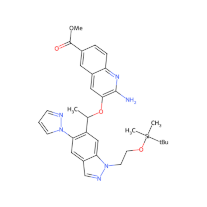 COC(=O)c1ccc2nc(N)c(OC(C)c3cc4c(cnn4CCO[Si](C)(C)C(C)(C)C)cc3-n3cccn3)cc2c1